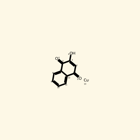 O=C1C=C(O)C(=O)c2ccccc21.[Cu]